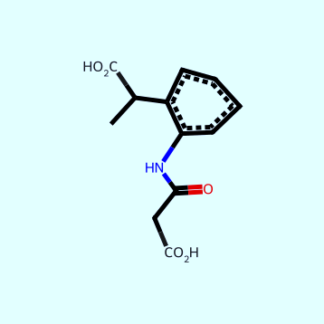 CC(C(=O)O)c1ccccc1NC(=O)CC(=O)O